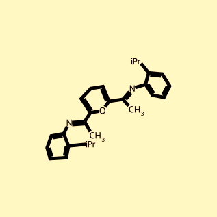 C/C(=N\c1ccccc1C(C)C)C1=CCC=C(/C(C)=N/c2ccccc2C(C)C)O1